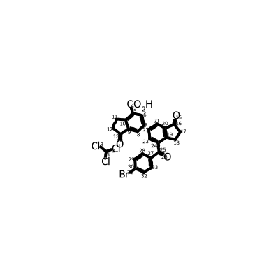 ClC(Cl)Cl.O=C(O)c1cccc2c1CCC2=O.O=C1CCc2c1cccc2C(=O)c1ccc(Br)cc1